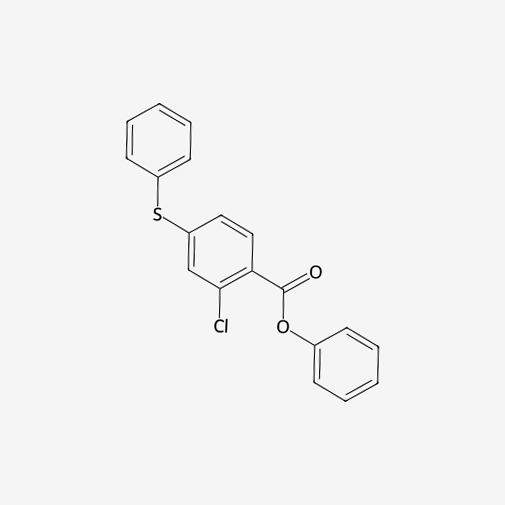 O=C(Oc1ccccc1)c1ccc(Sc2ccccc2)cc1Cl